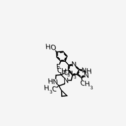 Cc1n[nH]c2nc(-c3ccc(O)cc3F)cc(CN3C[C@](C)(C4CC4)NCC3(C)C)c12